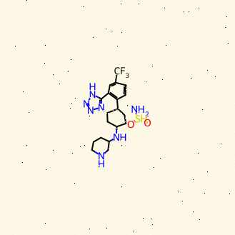 FC(F)(F)c1ccc(C2CCC(NC3CCCNC3)CC2)c(-c2nnn[nH]2)c1.N[SH](=O)=O